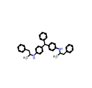 CC(Cc1ccccc1)Nc1ccc(C(c2ccccc2)c2ccc(NC(C)Cc3ccccc3)cc2)cc1